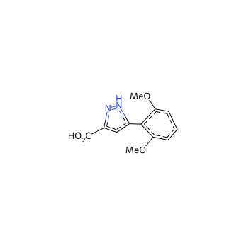 COc1cccc(OC)c1-c1cc(C(=O)O)n[nH]1